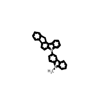 Cn1c2ccccc2c2cc(-n3c4ccccc4c4c5c(ccc43)-c3ccccc3C5)ccc21